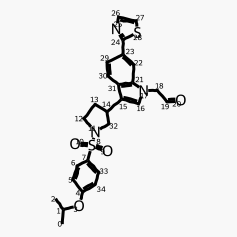 CC(C)Oc1ccc(S(=O)(=O)N2CCC(c3cn(CC=O)c4cc(-c5nccs5)ccc34)C2)cc1